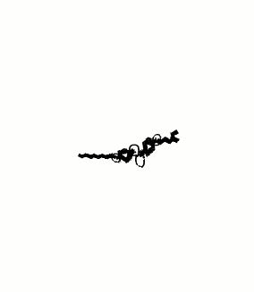 CCCCCCCC=COc1ccc(OC(=O)c2ccc(OCCCC(C)CC)cc2)cc1